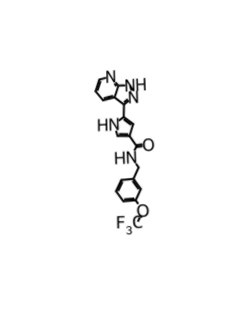 O=C(NCc1cccc(OC(F)(F)F)c1)c1c[nH]c(-c2n[nH]c3ncccc23)c1